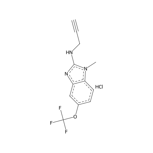 C#CCNc1nc2cc(OC(F)(F)F)ccc2n1C.Cl